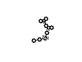 c1ccc(-c2ccc(-c3ccnc(-c4ccc(-n5c6ccccc6c6cc(-n7c8ccccc8c8ccccc87)ccc65)cc4)n3)cc2)cc1